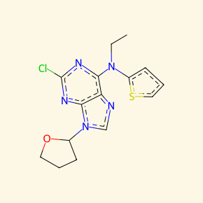 CCN(c1cccs1)c1nc(Cl)nc2c1ncn2C1CCCO1